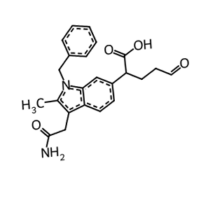 Cc1c(CC(N)=O)c2ccc(C(CCC=O)C(=O)O)cc2n1Cc1ccccc1